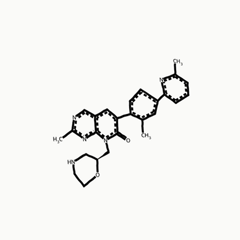 Cc1cccc(-c2ccc(-c3cc4cnc(C)nc4n(C[C@@H]4CNCCO4)c3=O)c(C)c2)n1